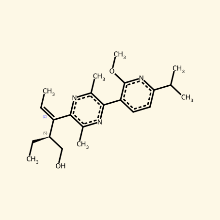 C/C=C(\c1nc(C)c(-c2ccc(C(C)C)nc2OC)nc1C)[C@H](CC)CO